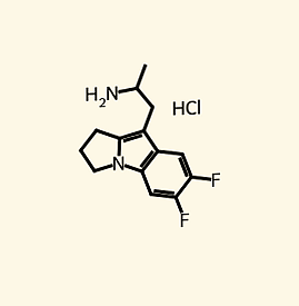 CC(N)Cc1c2n(c3cc(F)c(F)cc13)CCC2.Cl